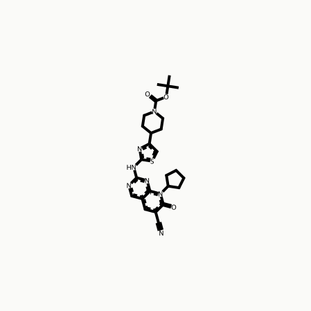 CC(C)(C)OC(=O)N1CCC(c2csc(Nc3ncc4cc(C#N)c(=O)n(C5CCCC5)c4n3)n2)CC1